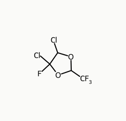 FC(F)(F)C1OC(Cl)C(F)(Cl)O1